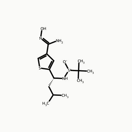 CC(C)C[C@@H](N[S+]([O-])C(C)(C)C)c1cc(C(N)=NO)cs1